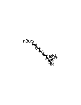 CCCCOCCOCCOCCC[Si](OCC)(OCC)OCC